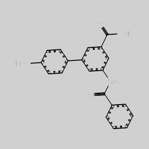 Cc1ccc(-c2cc(NC(=O)c3ccccc3)cc(C(=O)O)c2)cc1